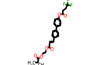 C=C(C)C(=O)OCCOC(=O)/C=C/c1ccc(-c2ccc(OC(=O)CCC(F)(F)F)cc2)cc1